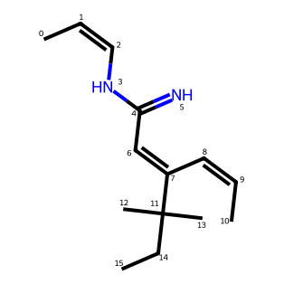 C/C=C\NC(=N)/C=C(\C=C/C)C(C)(C)CC